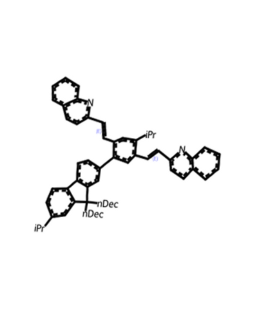 CCCCCCCCCCC1(CCCCCCCCCC)c2cc(-c3cc(/C=C/c4ccc5ccccc5n4)c(C(C)C)cc3/C=C/c3ccc4ccccc4n3)ccc2-c2ccc(C(C)C)cc21